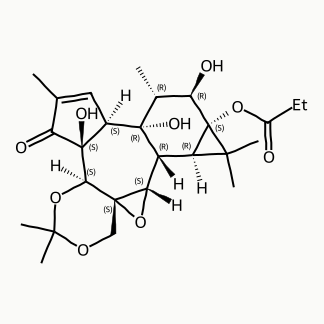 CCC(=O)O[C@@]12[C@H](O)[C@@H](C)[C@@]3(O)[C@H]([C@@H]1C2(C)C)[C@@H]1O[C@@]12COC(C)(C)O[C@H]2[C@]1(O)C(=O)C(C)=C[C@H]13